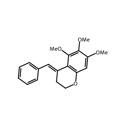 COc1cc2c(c(OC)c1OC)C(=Cc1ccccc1)CCO2